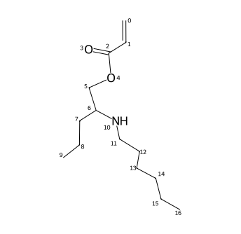 C=CC(=O)OCC(CCC)NCCCCCC